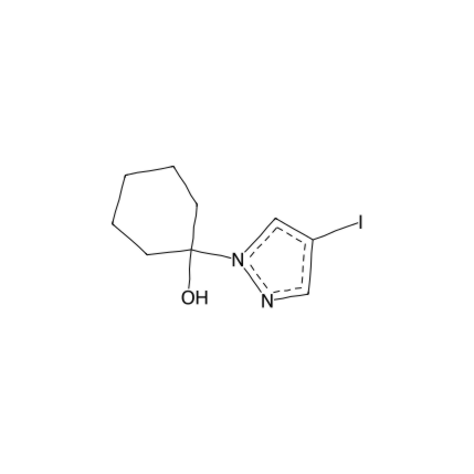 OC1(n2cc(I)cn2)CCCCC1